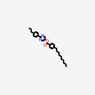 CCCCCCCCCCc1ccc(C(=O)Oc2cnc(-c3ccc(CCC)cc3)nc2)cc1